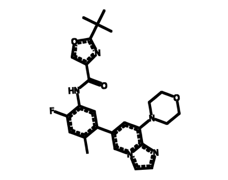 Cc1cc(F)c(NC(=O)c2coc(C(C)(C)C)n2)cc1-c1cc(N2CCOCC2)c2nccn2c1